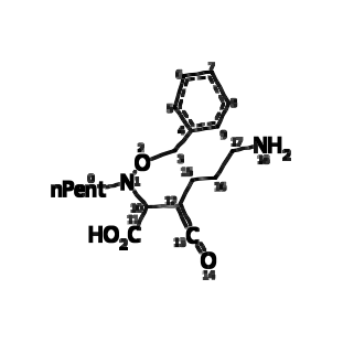 CCCCCN(OCc1ccccc1)C(C(=O)O)C(=C=O)CCCN